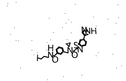 O=C(NCCCI)c1cccc(CN(C(=O)c2nc3ccc(-c4cn[nH]c4)cc3s2)C2CC2)c1